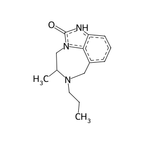 CCCN1Cc2cccc3[nH]c(=O)n(c23)CC1C